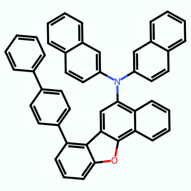 c1ccc(-c2ccc(-c3cccc4oc5c6ccccc6c(N(c6ccc7ccccc7c6)c6ccc7ccccc7c6)cc5c34)cc2)cc1